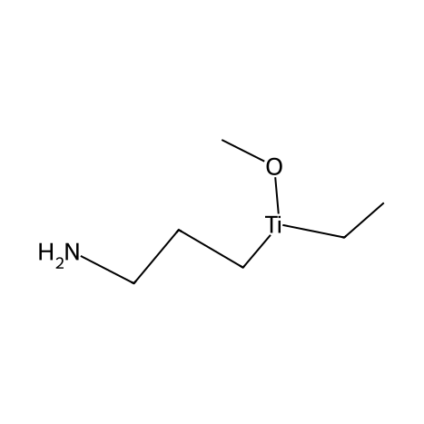 C[CH2][Ti]([CH2]CCN)[O]C